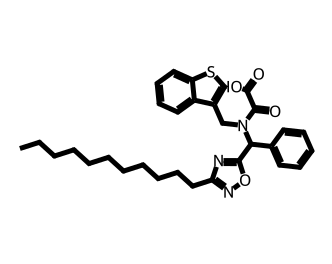 CCCCCCCCCCCc1noc(C(c2ccccc2)N(Cc2csc3ccccc23)C(=O)C(=O)O)n1